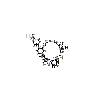 CN1CCN(c2ccc3cc2OCCCCC(=O)N(C)CCNc2ncnc4c2/C(=C/N3)C(=O)N4)CC1